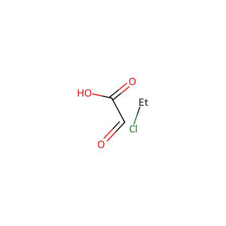 CCCl.O=CC(=O)O